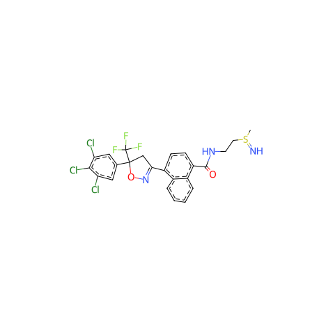 CS(=N)CCNC(=O)c1ccc(C2=NOC(c3cc(Cl)c(Cl)c(Cl)c3)(C(F)(F)F)C2)c2ccccc12